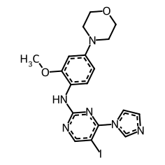 COc1cc(N2CCOCC2)ccc1Nc1ncc(I)c(-n2ccnc2)n1